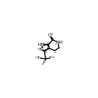 O=C1NCCc2c(C(F)(F)F)n[nH]c21